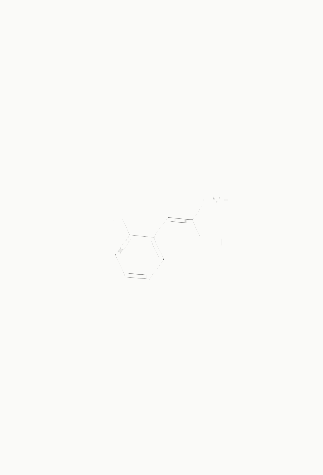 COC(=Cc1ccccc1C(=O)O)C(=O)O